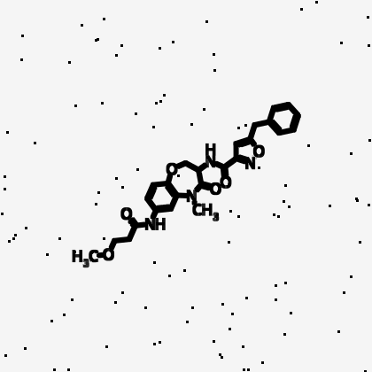 COCCC(=O)Nc1ccc2c(c1)N(C)C(=O)C(NC(=O)c1cc(Cc3ccccc3)on1)CO2